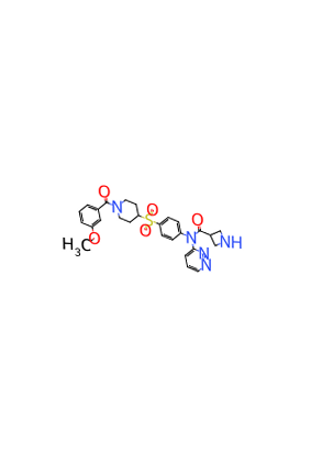 COc1cccc(C(=O)N2CCC(S(=O)(=O)c3ccc(N(C(=O)C4CNC4)c4cccnn4)cc3)CC2)c1